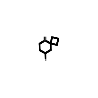 IC1CCNC2(CCC2)C1